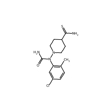 Cc1ccc(Cl)cc1N(C(N)=O)N1CCC(C(N)=S)CC1